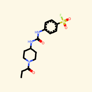 CCC(=O)N1CCC(NC(=O)Nc2ccc(S(=O)(=O)F)cc2)CC1